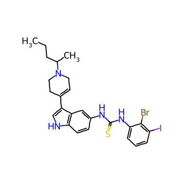 CCCC(C)N1CC=C(c2c[nH]c3ccc(NC(=S)Nc4cccc(I)c4Br)cc23)CC1